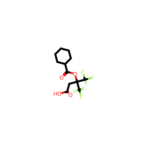 O=C(O)CC(OC(=O)C1CCCCC1)(C(F)(F)F)C(F)(F)F